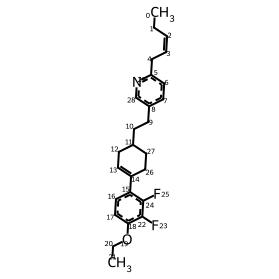 CC/C=C\Cc1ccc(CCC2CC=C(c3ccc(OCC)c(F)c3F)CC2)cn1